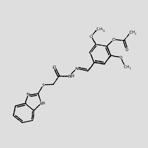 COc1cc(/C=N/NC(=O)CSc2nc3ccccc3[nH]2)cc(OC)c1OC(C)=O